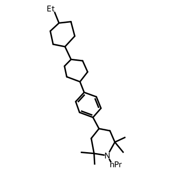 CCCN1C(C)(C)CC(c2ccc(C3CCC(C4CCC(CC)CC4)CC3)cc2)CC1(C)C